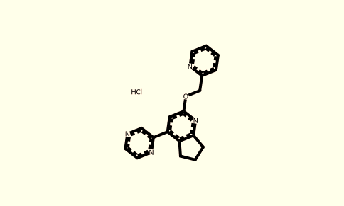 Cl.c1ccc(COc2cc(-c3cnccn3)c3c(n2)CCC3)nc1